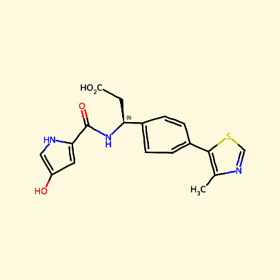 Cc1ncsc1-c1ccc([C@H](CC(=O)O)NC(=O)c2cc(O)c[nH]2)cc1